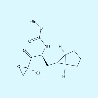 CC(C)(C)OC(=O)N[C@@H](CC1[C@H]2CCC[C@@H]12)C(=O)[C@@]1(C)CO1